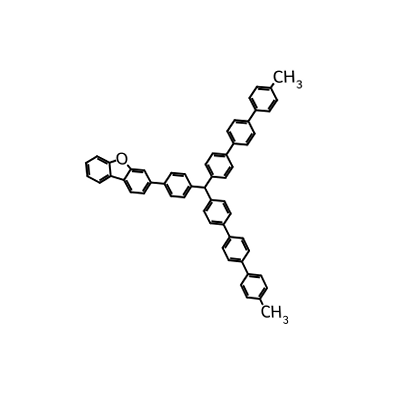 Cc1ccc(-c2ccc(-c3ccc(C(c4ccc(-c5ccc(-c6ccc(C)cc6)cc5)cc4)c4ccc(-c5ccc6c(c5)oc5ccccc56)cc4)cc3)cc2)cc1